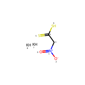 O=[N+]([O-])CC(=S)S.[KH].[KH]